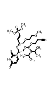 COCCOC[C@@H](/C=C/P(=O)(OC)OC)O[C@H](COP(OCCC#N)N(C(C)C)C(C)C)n1ccc(=O)[nH]c1=O